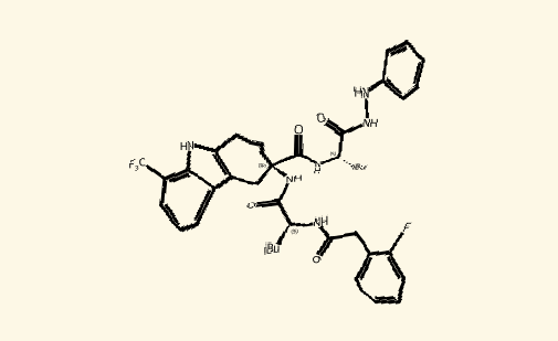 CCC(C)[C@H](NC(=O)Cc1ccccc1F)C(=O)N[C@]1(C(=O)N[C@H](C(=O)NNc2ccccc2)C(C)CC)CCc2[nH]c3c(C(F)(F)F)cccc3c2C1